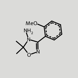 COc1ccccc1C1=NOC(C)(C)N1N